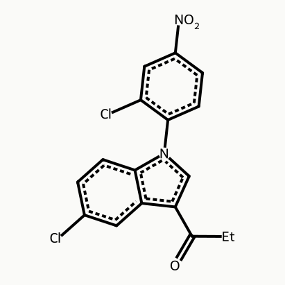 CCC(=O)c1cn(-c2ccc([N+](=O)[O-])cc2Cl)c2ccc(Cl)cc12